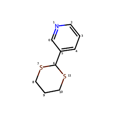 [c]1ncccc1C1SCCCS1